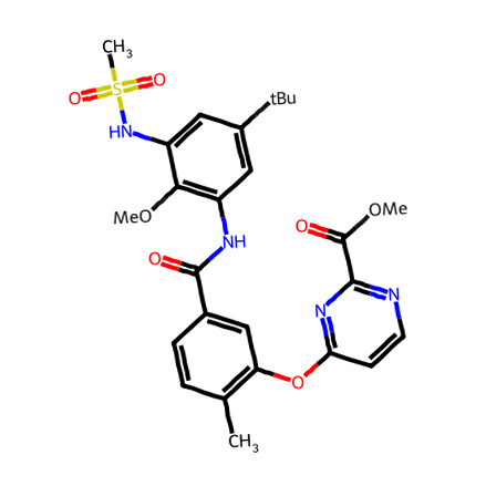 COC(=O)c1nccc(Oc2cc(C(=O)Nc3cc(C(C)(C)C)cc(NS(C)(=O)=O)c3OC)ccc2C)n1